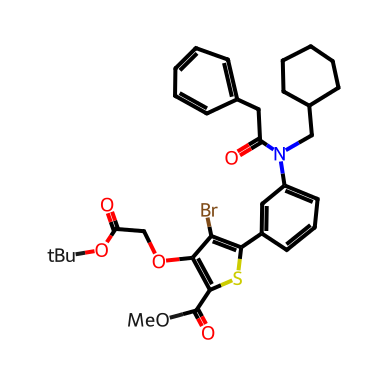 COC(=O)c1sc(-c2cccc(N(CC3CCCCC3)C(=O)Cc3ccccc3)c2)c(Br)c1OCC(=O)OC(C)(C)C